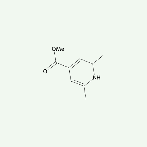 COC(=O)C1=CC(C)NC(C)=C1